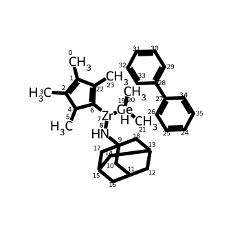 CC1=C(C)C(C)[C]([Zr]([NH]C23CC4CC(CC(C4)C2)C3)[GeH]([CH3])[CH3])=C1C.c1ccc(-c2ccccc2)cc1